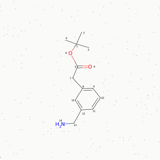 CC(C)(C)OC(=O)Cc1cccc(CN)c1